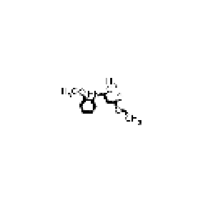 CCOC(=O)CC(C)Nc1ccccc1OC